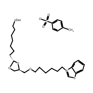 CCCCCCCCCCCCCCCCC[C@H]1OC[C@H](COCCCCCC[n+]2csc3ccccc32)O1.Cc1ccc(S(=O)(=O)[O-])cc1